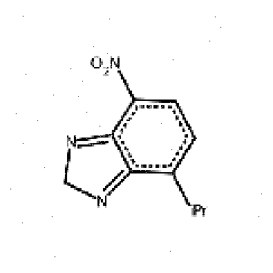 CC(C)c1ccc([N+](=O)[O-])c2c1=NCN=2